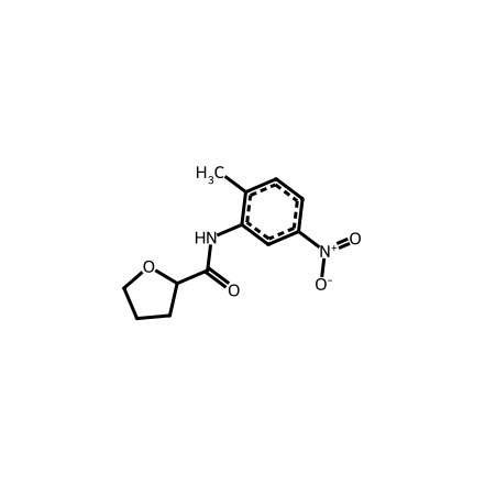 Cc1ccc([N+](=O)[O-])cc1NC(=O)C1CCCO1